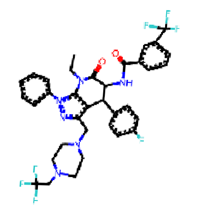 CCN1C(=O)C(NC(=O)c2cccc(C(F)(F)F)c2)C(c2ccc(F)cc2)c2c(CN3CCN(CC(F)(F)F)CC3)nn(-c3ccccc3)c21